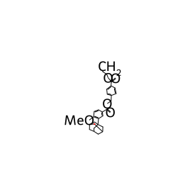 C=CCOC(=O)c1ccc(COC(=O)c2ccc(OC)c(C34CC5CC(CC(C5)C3)C4)c2)cc1